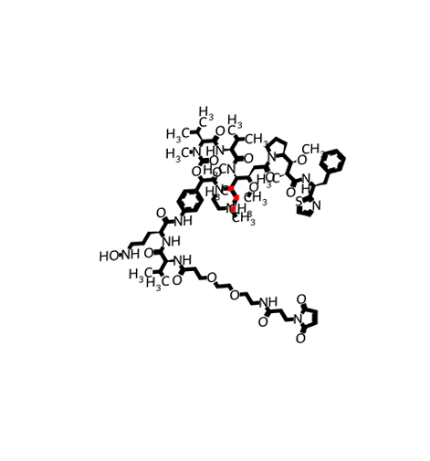 CC[C@H](C)[C@@H]([C@@H](CC(=O)N1CCC[C@H]1[C@H](OC)[C@@H](C)C(=O)N[C@@H](Cc1ccccc1)c1nccs1)OC)N(C)C(=O)[C@@H](NC(=O)[C@H](C(C)C)N(C)C(=O)OC(C(=O)N1CCN(C)CC1)c1ccc(NC(=O)[C@H](CCCNO)NC(=O)[C@@H](NC(=O)CCOCCOCCNC(=O)CCN2C(=O)C=CC2=O)C(C)C)cc1)C(C)C